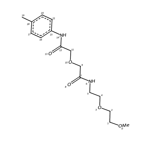 COCCOCCNC(=O)COCC(=O)Nc1ccc(C)cc1